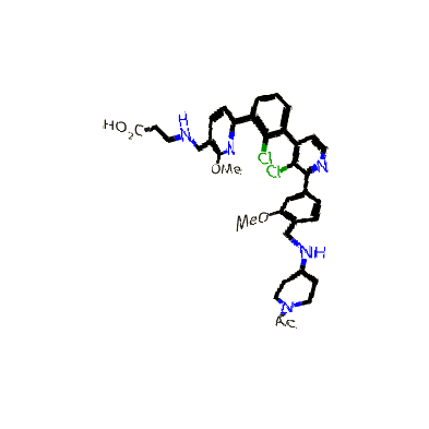 COc1cc(-c2nccc(-c3cccc(-c4ccc(CNCCC(=O)O)c(OC)n4)c3Cl)c2Cl)ccc1CNC1CCN(C(C)=O)CC1